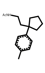 CC(=O)NCCC1(c2ccc(C)cc2)CCCC1